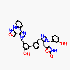 Nc1nocc1-c1c(-c2ccccc2)ncn1Cc1cc(O)cc(-c2cccc(Cc3ncn(Cc4cccc(O)c4)c3Cc3c[nH]c(=O)o3)c2)c1